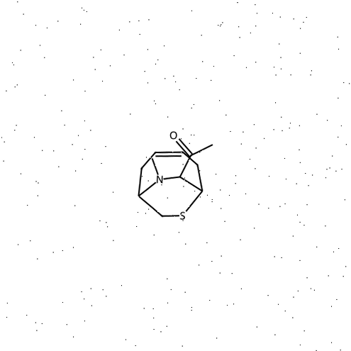 CC(=O)C1C2C/C=C\CC(CS2)N1C